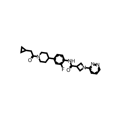 O=C(Nc1ccc(C2CCN(C(=O)CC3CC3)CC2)cc1F)C1CN(c2cccnn2)C1